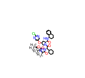 C[C@@H](C(=O)N[C@H](C(=O)N1C[C@@H](Oc2cnc(Cl)nc2)C[C@H]1C(=O)N[C@@H]1CCCc2ccccc21)C1CCCCC1)N(C)C(=O)OC(C)(C)C